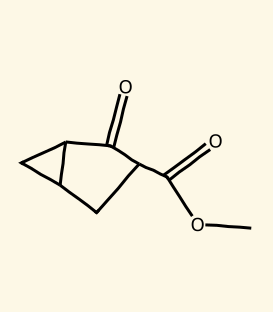 COC(=O)C1CC2CC2C1=O